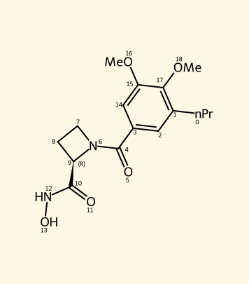 CCCc1cc(C(=O)N2CC[C@@H]2C(=O)NO)cc(OC)c1OC